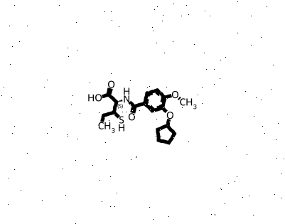 CCC(S)[C@@H](NC(=O)c1ccc(OC)c(OC2CCCC2)c1)C(=O)O